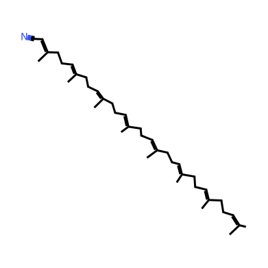 CC(C)=CCC/C(C)=C/CC/C(C)=C/CC/C(C)=C/CC/C(C)=C/CC/C(C)=C/CC/C(C)=C/CC/C(C)=C/C#N